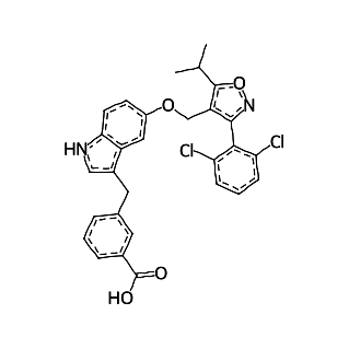 CC(C)c1onc(-c2c(Cl)cccc2Cl)c1COc1ccc2[nH]cc(Cc3cccc(C(=O)O)c3)c2c1